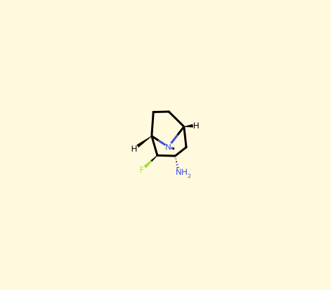 CN1[C@@H]2CC[C@H]1[C@H](F)[C@@H](N)C2